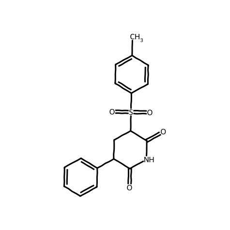 Cc1ccc(S(=O)(=O)C2CC(c3ccccc3)C(=O)NC2=O)cc1